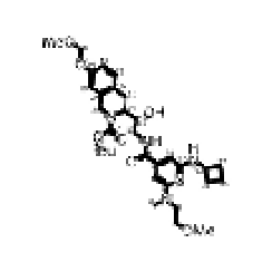 COCCN(C)c1cc(C(=O)NC[C@@H](O)[C@@H]2Cc3ccc(OCOC)cc3CN2C(=O)OC(C)(C)C)cc(NC2CCC2)n1